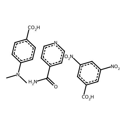 CN(C)c1ccc(C(=O)O)cc1.NC(=O)c1ccncc1.O=C(O)c1cc([N+](=O)[O-])cc([N+](=O)[O-])c1